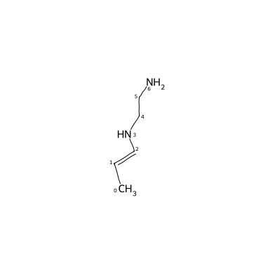 CC=CNCCN